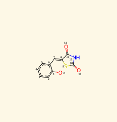 [O]c1ccccc1C=C1SC(=O)NC1=O